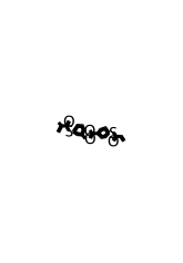 C=CC(=O)Sc1ccc(C(=O)Oc2ccc(SC(=O)C(=C)C)cc2C)cc1